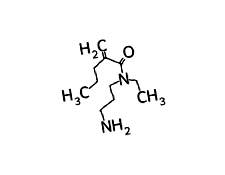 C=C(CCC)C(=O)N(CC)CCCN